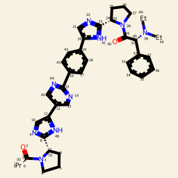 [CH2][C@@H](C)C(=O)N1CCC[C@H]1c1ncc(-c2cnc(-c3ccc(-c4cnc([C@@H]5CCCN5C(=O)[C@@H](c5ccccc5)N(CC)CC)[nH]4)cc3)nc2)[nH]1